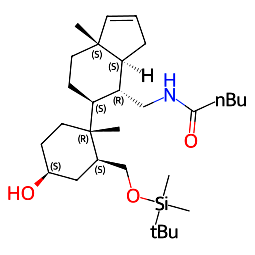 CCCCC(=O)NC[C@@H]1[C@@H]([C@@]2(C)CC[C@H](O)C[C@@H]2CO[Si](C)(C)C(C)(C)C)CC[C@]2(C)C=CC[C@@H]12